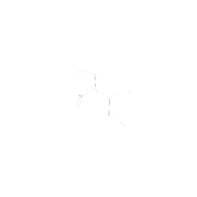 CCCC(CN)N1CCOC1=O